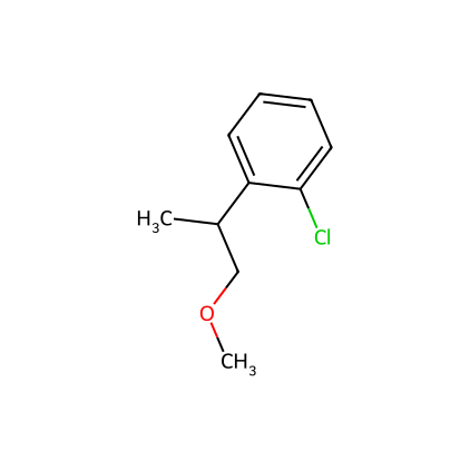 COCC(C)c1ccccc1Cl